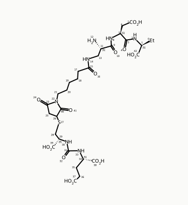 CC[C@H](NC(=O)[C@H](CC(=O)O)NC(=O)[C@@H](N)CNC(=O)CCCCCN1C(=O)CC(SC[C@H](NC(=O)N[C@@H](CCC(=O)O)C(=O)O)C(=O)O)C1=O)C(=O)O